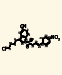 N#Cc1ccc2c(c1)c(CCCCCl)cn2S(=O)(=O)CC=Cc1ccc([N+](=O)[O-])cc1